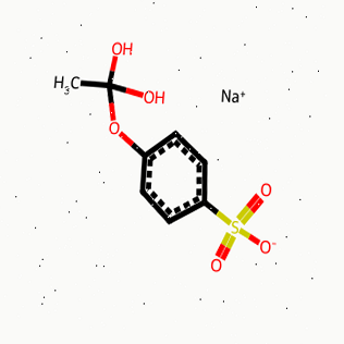 CC(O)(O)Oc1ccc(S(=O)(=O)[O-])cc1.[Na+]